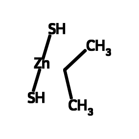 CCC.[SH][Zn][SH]